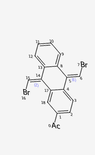 CC(=O)c1ccc2/c(=C/Br)c3ccccc3/c(=C/Br)c2c1